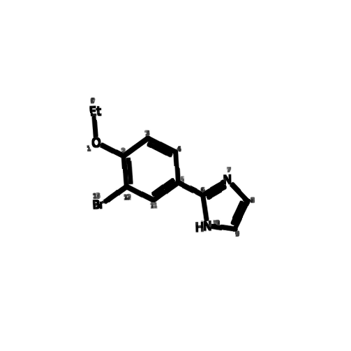 CCOc1ccc(-c2ncc[nH]2)cc1Br